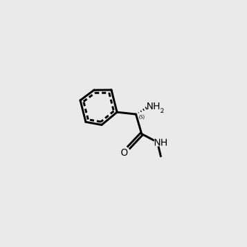 CNC(=O)[C@@H](N)c1ccccc1